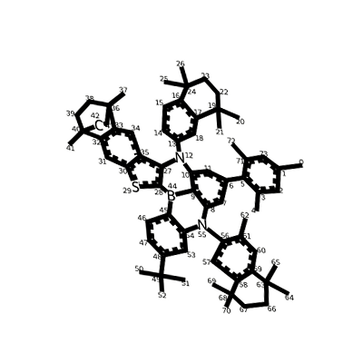 Cc1cc(C)c(-c2cc3c4c(c2)N(c2ccc5c(c2)C(C)(C)CCC5(C)C)c2c(sc5cc6c(cc25)C2(C)CCC6(C)CC2)B4c2ccc(C(C)(C)C)cc2N3c2cc3c(cc2C)C(C)(C)CCC3(C)C)c(C)c1